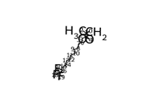 C=C(C)C(=O)OCCCCCCCCCCCC(F)(F)F